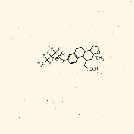 C[C@]12C[C@@H](CC(=O)O)C3c4ccc(OS(=O)(=O)C(F)(F)C(F)(F)C(F)(F)C(F)(F)F)cc4CCC3C1CCO2